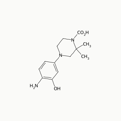 CC1(C)CN(c2ccc(N)c(O)c2)CCN1C(=O)O